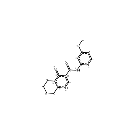 COc1ccnc(NC(=O)c2c[nH]c3c(c2=O)CCCC3)c1